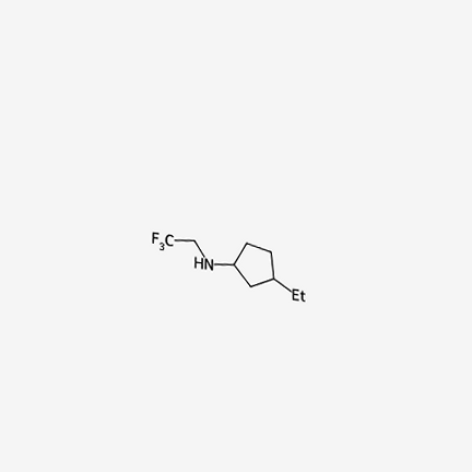 CCC1CCC(NCC(F)(F)F)C1